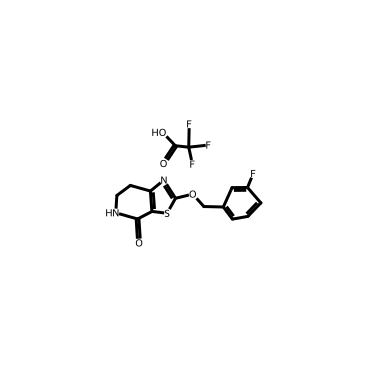 O=C(O)C(F)(F)F.O=C1NCCc2nc(OCc3cccc(F)c3)sc21